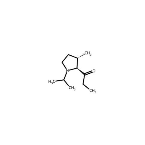 CCC(=O)[C@@H]1[C@@H](C)CCN1C(C)C